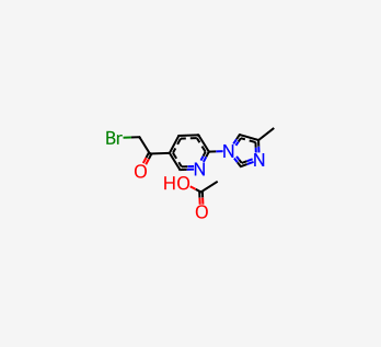 CC(=O)O.Cc1cn(-c2ccc(C(=O)CBr)cn2)cn1